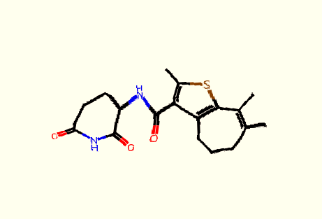 CC1=C(C)c2sc(C)c(C(=O)NC3CCC(=O)NC3=O)c2CCC1